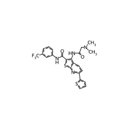 CN(C)CC(=O)Nc1c(C(=O)Nc2cccc(C(F)(F)F)c2)sc2nc(-c3cccs3)ccc12